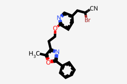 Cc1oc(-c2ccccc2)nc1CCOc1ccc(CC(Br)C#N)cn1